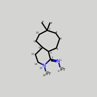 CC(C)/N=C1/C2CCCC(C)(C)CCC2CCN1C(C)C